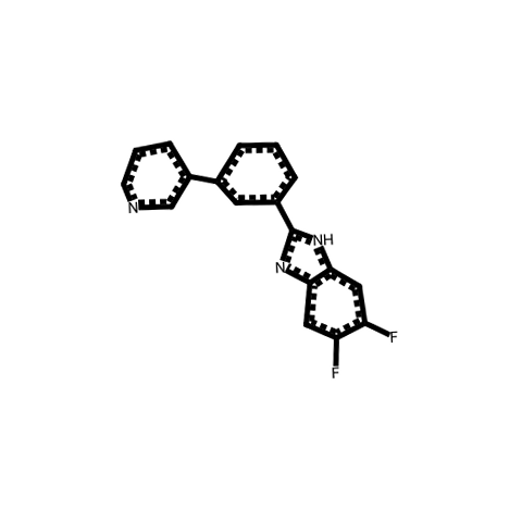 Fc1cc2nc(-c3cccc(-c4cccnc4)c3)[nH]c2cc1F